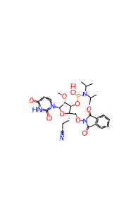 CO[C@H]1[C@H](n2ccc(=O)[nH]c2=O)O[C@](CCC#N)(CON2C(=O)c3ccccc3C2=O)[C@@H]1OP(O)N(C(C)C)C(C)C